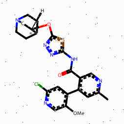 COc1cnc(Cl)cc1-c1cc(C)ncc1C(=O)Nc1nnc(O[C@H]2CN3CCC2CC3)s1